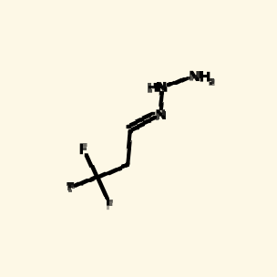 NN/N=C/CC(F)(F)F